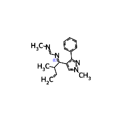 C=CC(C)/C(=N\C=NC)c1cn(C)nc1-c1ccccc1